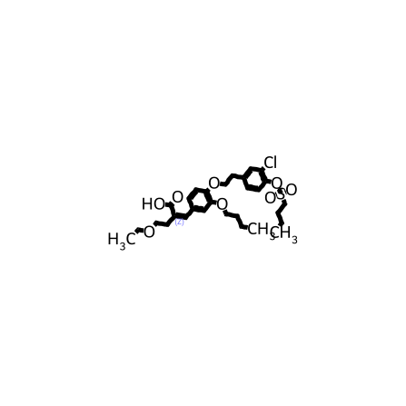 CCCCOc1cc(/C=C(/CCOCC)C(=O)O)ccc1OCCc1ccc(OS(=O)(=O)CCCC)c(Cl)c1